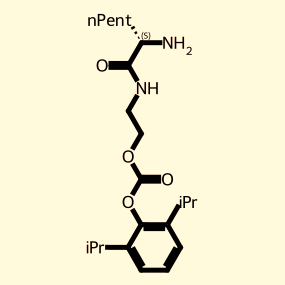 CCCCC[C@H](N)C(=O)NCCOC(=O)Oc1c(C(C)C)cccc1C(C)C